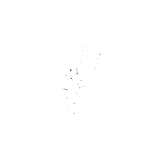 CC1=C(C)[Si](c2ccccc2)(c2ccccc2)C(c2nnc(C3=C(C)C(C)=C(C)[Si]3(c3ccccc3)c3ccccc3)o2)=C1C